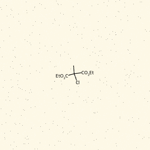 CCOC(=O)C(C)(Cl)C(=O)OCC